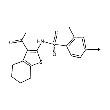 CC(=O)c1c(NS(=O)(=O)c2ccc(F)cc2C)sc2c1CCCC2